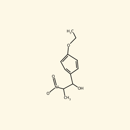 CCOc1ccc(C(O)C(C)[N+](=O)[O-])cc1